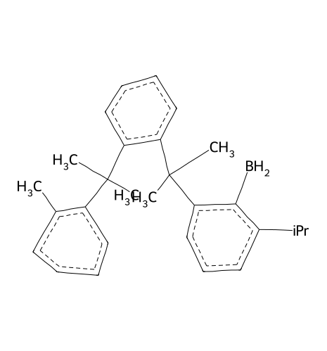 Bc1c(C(C)C)cccc1C(C)(C)c1ccccc1C(C)(C)c1ccccc1C